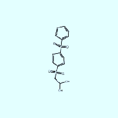 O=S(=O)(CC(O)O)c1ccc(S(=O)(=O)c2ccccc2)cc1